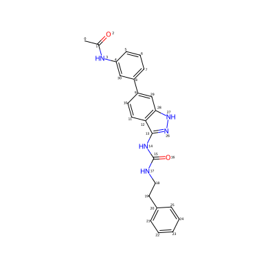 CC(=O)Nc1cccc(-c2ccc3c(NC(=O)NCCc4ccccc4)n[nH]c3c2)c1